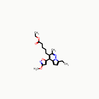 CCOC(=O)CCCCc1c(C)nn2c(CC)ccc2c1-c1cc(OC)no1